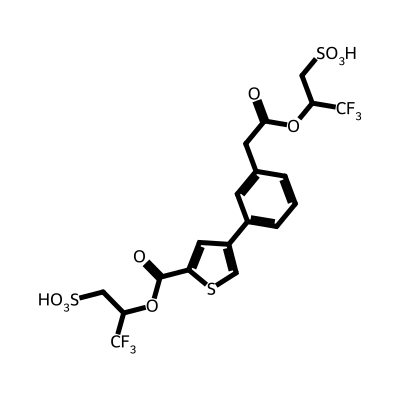 O=C(Cc1cccc(-c2csc(C(=O)OC(CS(=O)(=O)O)C(F)(F)F)c2)c1)OC(CS(=O)(=O)O)C(F)(F)F